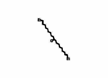 CCC=CCCCCCCCC(=O)CCCCCCCC=CCC